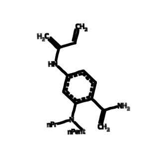 C=CC(=C)Nc1ccc(C(=C)N)c(N(CCC)CCCCC)c1